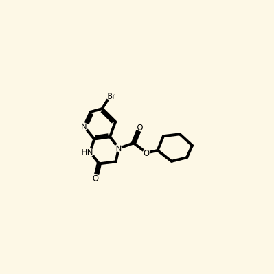 O=C1CN(C(=O)OC2CCCCC2)c2cc(Br)cnc2N1